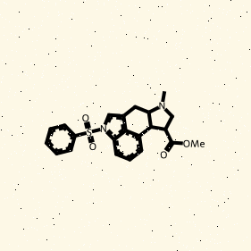 COC(=O)C1CN(C)C2Cc3cn(S(=O)(=O)c4ccccc4)c4cccc(c34)C12